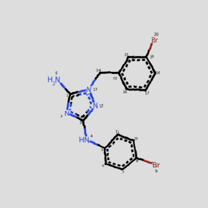 Nc1nc(Nc2ccc(Br)cc2)nn1Cc1cccc(Br)c1